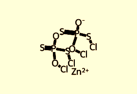 [O-]P(=S)(OCl)SCl.[O-]P(=S)(OCl)SCl.[Zn+2]